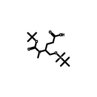 CN(C(=O)OC(C)(C)C)C(CCC(=O)O)CO[Si](C)(C)C(C)(C)C